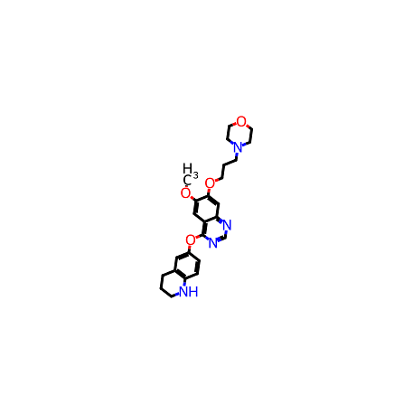 COc1cc2c(Oc3ccc4c(c3)CCCN4)ncnc2cc1OCCCN1CCOCC1